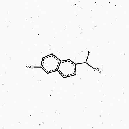 COc1ccc2cc(C(F)C(=O)O)ccc2c1